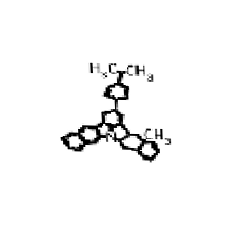 CC(C)c1ccc(-c2cc3c4c(c2)c2cc5ccccc5cc2n4C2CC4C=CC=CC4(C)CC32)cc1